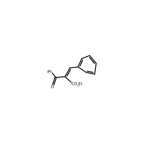 CCOC(=O)/C(=C\c1ccccc1)C(=O)C(C)C